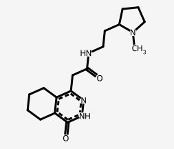 CN1CCCC1CCNC(=O)Cc1n[nH]c(=O)c2c1CCCC2